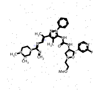 C=N/C(=N\C=C(/C)c1nn(-c2ccccc2)c(NC(=O)N[C@@H]2CN(CCOC)O[C@H]2c2ccnc(F)c2)c1C)N1CCN(C)[C@@H](C)C1